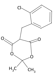 CC1(C)OC(=O)C(Cc2ccccc2Cl)C(=O)O1